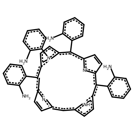 Nc1ccccc1-c1c2nc(c(-c3ccccc3N)c3ccc(c(-c4ccccc4N)c4nc(cc5ccc1[nH]5)C=C4)n3-c1ccccc1N)C=C2